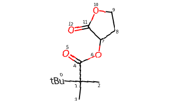 CC(C)(C)C(C)(C)C(=O)OC1CCOC1=O